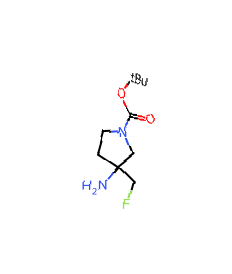 CC(C)(C)OC(=O)N1CCC(N)(CF)C1